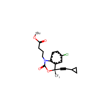 CC(C)(C)OC(=O)CCCN1C(=O)O[C@](C#CC2CC2)(C(F)(F)F)c2cc(Cl)ccc21